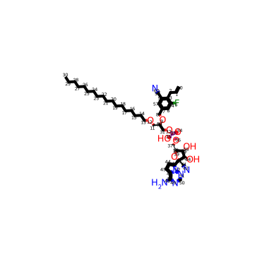 C=CCc1c(F)cc(CO[C@H](COCCCCCCCCCCCCCCCCCC)COP(=O)(O)OC[C@H]2O[C@@](C#N)(c3ccc4c(N)ncnn34)[C@H](O)[C@@H]2O)cc1C#N